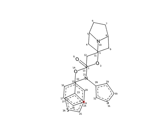 O=C(OC1CC2CCC(C1)N2CCCOc1ccccc1)N(Cc1ccsc1)c1ccsc1